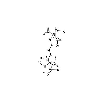 CO[Si](CCCCN(C)[Si](C(C)C)(C(C)C)C(C)C)(OC)OC